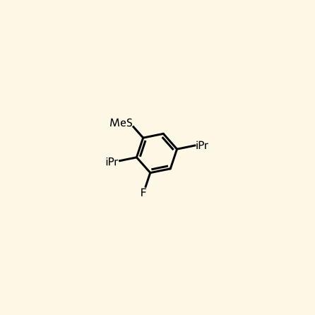 CSc1cc(C(C)C)cc(F)c1C(C)C